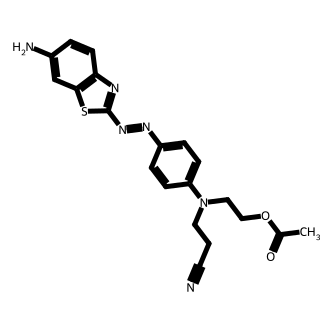 CC(=O)OCCN(CCC#N)c1ccc(/N=N/c2nc3ccc(N)cc3s2)cc1